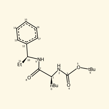 CCCC[C@H](NC(=O)OC(C)(C)C)C(=O)N[C@@H](CC)c1ccccc1